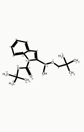 CC(C)(C)COB(O)c1cc2ccccc2n1C(=O)OC(C)(C)C